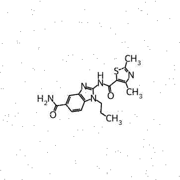 CCCn1c(NC(=O)c2sc(C)nc2C)nc2cc(C(N)=O)ccc21